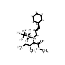 CC[C@@H](C)[C@@H](C(=O)OC)N(C/C=C/C1CCCCC1)S(=O)(=O)C(F)(F)F